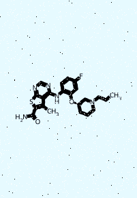 CCCN1CCC[C@@H](Oc2cc(F)ccc2Nc2ncnc3sc(C(N)=O)c(C)c23)C1